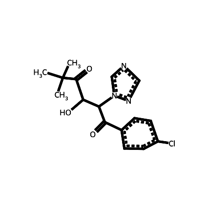 CC(C)(C)C(=O)C(O)C(C(=O)c1ccc(Cl)cc1)n1cncn1